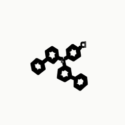 Clc1ccc(N(c2cccc(-c3ccccc3)c2)c2cccc(-c3ccccc3)c2)cc1